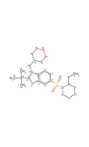 CCC1CCCCN1S(=O)(=O)c1ccc2c(c1)nc(C(C)(C)C)n2CC1CCOCC1